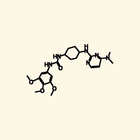 COc1cc(NC(=O)NC2CCC(Nc3nccc(N(C)C)n3)CC2)cc(OC)c1OC